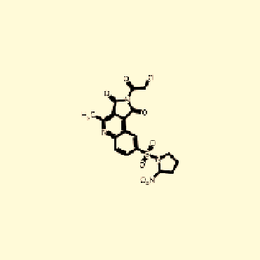 Cc1nc2ccc(S(=O)(=O)N3CCCC3[N+](=O)[O-])cc2c2c1C(=O)N(C(=O)CCl)C2=O